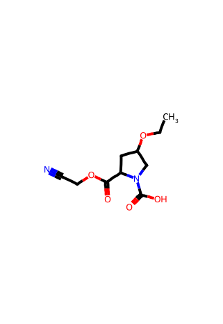 CCOC1CC(C(=O)OCC#N)N(C(=O)O)C1